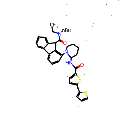 CCCCN(CC(F)(F)F)C(=O)C1c2ccccc2-c2cccc(N3CCCCC3NC(=O)c3ccc(-c4cccs4)s3)c21